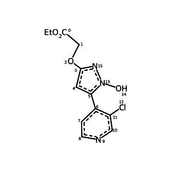 CCOC(=O)COc1cc(-c2ccncc2Cl)n(O)n1